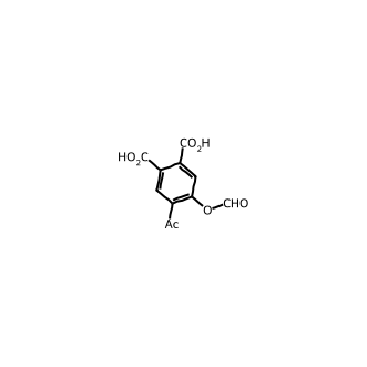 CC(=O)c1cc(C(=O)O)c(C(=O)O)cc1OC=O